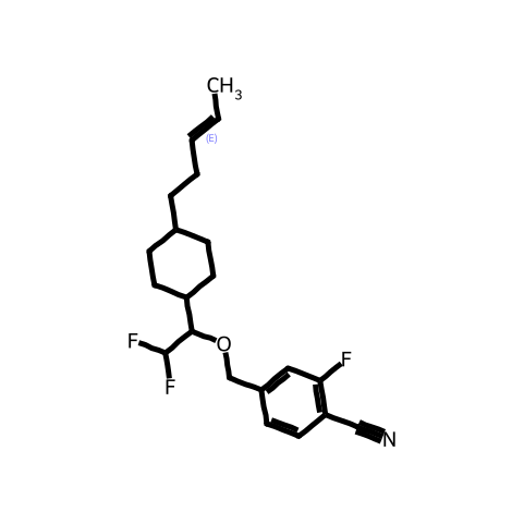 C/C=C/CCC1CCC(C(OCc2ccc(C#N)c(F)c2)C(F)F)CC1